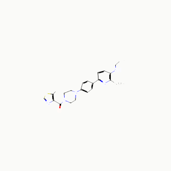 CNc1nc(-c2ccc(N3CCN(C(=O)c4ncsc4C)CC3)cc2)ccc1NCC(C)(C)C